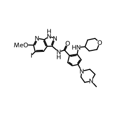 COc1nc2[nH]nc(NC(=O)c3ccc(N4CCN(C)CC4)cc3NC3CCOCC3)c2cc1I